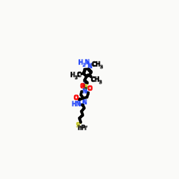 CCCSCCCCCC1=NC2(CCN(S(=O)(=O)/C=C/c3c(C)cc(N(C)N)cc3C)CC2)C(=O)N1